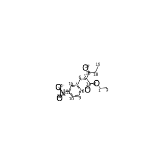 CCOC(=O)C(=Cc1cccc([N+](=O)[O-])c1)C(=O)CC